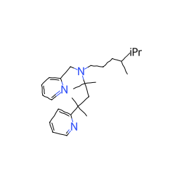 CC(C)C(C)CCCN(Cc1ccccn1)C(C)(C)CC(C)(C)c1ccccn1